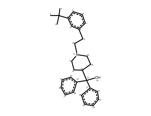 CC(C)(C)c1cccc(CCN2CCC(C(O)(c3ccccc3)c3ccccc3)CC2)c1